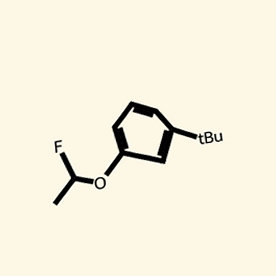 CC(F)Oc1cccc(C(C)(C)C)c1